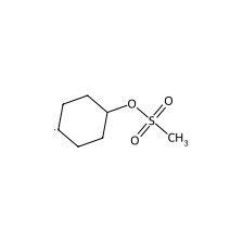 CS(=O)(=O)OC1CC[CH]CC1